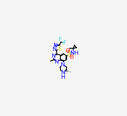 Cc1nc(-c2nnc(C(F)F)s2)c2cc(S(=O)(=O)NC3(C)CC3)cc(N3CCN[C@@H](C)C3)c2n1